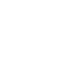 BrC=CCc1ccccc1